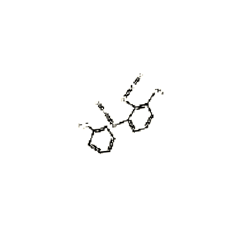 Cc1cccc(N=C=O)c1N=C=O.Cc1ccccc1